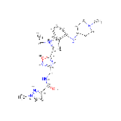 CN1CCC(Nc2cccc3c2cc(-c2nc(CNC(=O)c4ccn(C)n4)no2)n3CC(F)(F)F)CC1